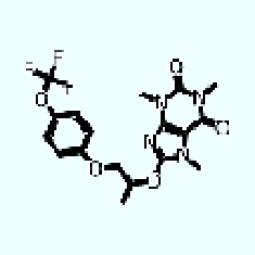 CC(COc1ccc(OC(F)(F)F)cc1)Oc1nc2c(c(=O)n(C)c(=O)n2C)n1C